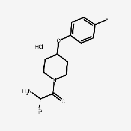 CC(C)[C@H](N)C(=O)N1CCC(Oc2ccc(F)cc2)CC1.Cl